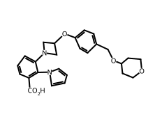 O=C(O)c1cccc(N2CC(Oc3ccc(COC4CCOCC4)cc3)C2)c1-n1cccc1